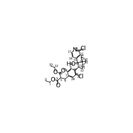 CCOC(=O)C(Cc1ccc(C(C)C(O)(c2ccnc(Cl)c2)C(F)(F)F)c(Cl)c1)C(=O)OCC